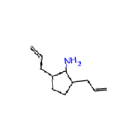 C=CCC1CCC(CC=C)C1N